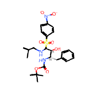 CC(C)CNC([C@@H](O)[C@H](Cc1ccccc1)NC(=O)OC(C)(C)C)S(=O)(=O)c1ccc([N+](=O)[O-])cc1